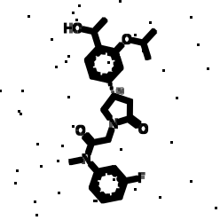 CC(C)Oc1cc([C@@H]2CC(=O)N(CC(=O)N(C)c3cccc(F)c3)C2)ccc1C(C)O